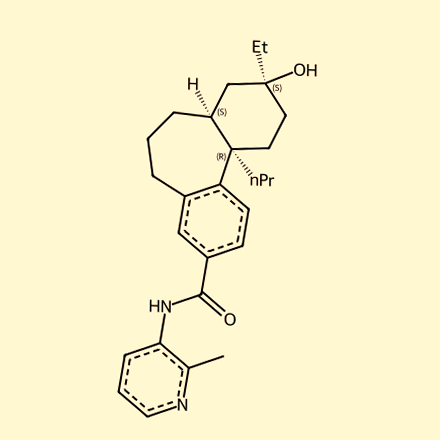 CCC[C@@]12CC[C@@](O)(CC)C[C@@H]1CCCc1cc(C(=O)Nc3cccnc3C)ccc12